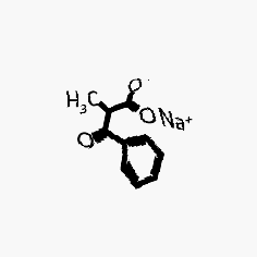 CC(C(=O)[O-])C(=O)c1ccccc1.[Na+]